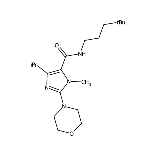 CC(C)c1nc(N2CCOCC2)n(C)c1C(=O)NCCCC(C)(C)C